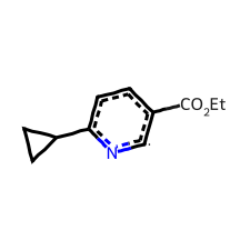 CCOC(=O)c1[c]nc(C2CC2)cc1